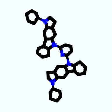 c1ccc(-n2ccc3cc4c(cc32)c2ccccc2n4-c2cccc(-n3c4ccccc4c4cc5c(ccn5-c5ccccc5)cc43)n2)cc1